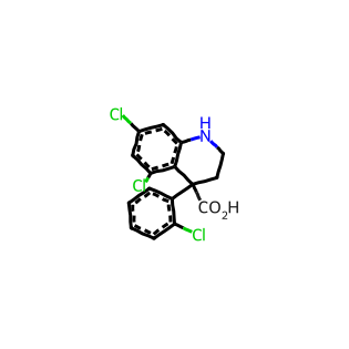 O=C(O)C1(c2ccccc2Cl)CCNc2cc(Cl)cc(Cl)c21